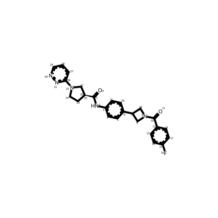 O=C(Nc1ccc(C2CN(C(=O)c3ccc(F)cc3)C2)cc1)[C@H]1CCN(c2cccnn2)C1